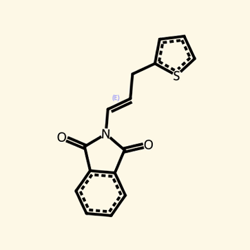 O=C1c2ccccc2C(=O)N1/C=C/Cc1cccs1